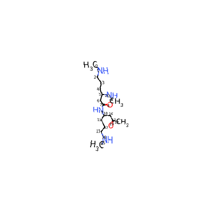 CNCCCC(CC(=O)NC(CCCNC)CC(C)=O)NC